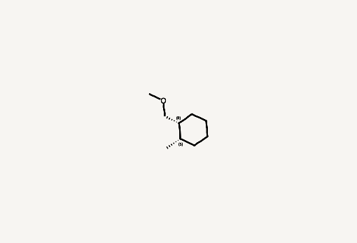 COC[C@@H]1CCCC[C@@H]1C